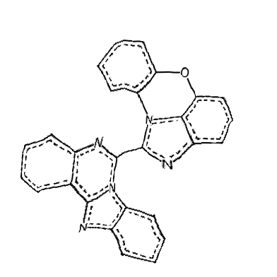 c1ccc2c(c1)Oc1cccc3nc(-c4nc5ccccc5c5nc6ccccc6n45)n-2c13